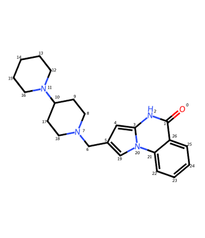 O=c1[nH]c2cc(CN3CCC(N4CCCCC4)CC3)cn2c2ccccc12